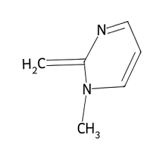 C=C1N=CC=CN1C